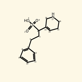 O=S(=O)(O)C(CCc1ccccc1)C1=CCCNC1